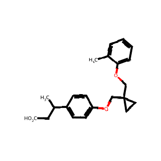 Cc1ccccc1OCC1(COc2ccc(C(C)CC(=O)O)cc2)CC1